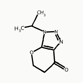 CC(C)n1nnc2c1OCCC2=O